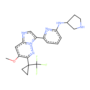 COc1cc2ncc(-c3cccc(NC4CCNC4)n3)n2nc1C1(C(F)(F)F)CC1